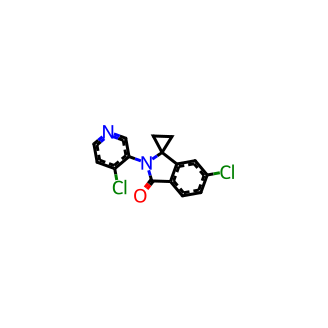 O=C1c2ccc(Cl)cc2C2(CC2)N1c1cnccc1Cl